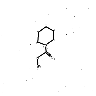 CC(C)[N]C(=O)N1CCCCC1